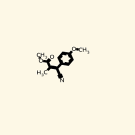 COC(=O)C(C)=C(C#N)c1ccc(OC)cc1